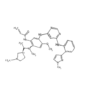 C=CC(=O)Nc1cc(Nc2cc(Nc3ccccc3-c3ccn(C)n3)ncn2)c(OC)cc1N(C)C(C)[C@H]1CCN(C)C1